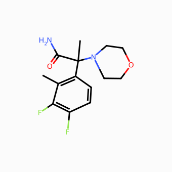 Cc1c(C(C)(C(N)=O)N2CCOCC2)ccc(F)c1F